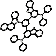 c1ccc(N(c2ccccc2)c2cc(-c3cc(-c4cc(N(c5ccccc5)c5ccccc5)cc5c4sc4ccccc45)cc(-n4c5ccccc5c5c6ccccc6ccc54)c3)c3sc4ccccc4c3c2)cc1